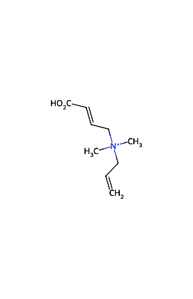 C=CC[N+](C)(C)CC=CC(=O)O